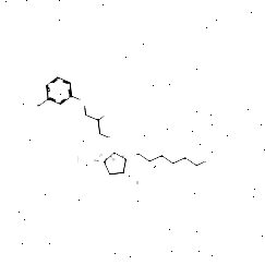 O=C(O)CCCCCC[C@@H]1[C@@H](SCC(O)COc2cccc(Cl)c2)[C@H](O)C[C@@H]1O